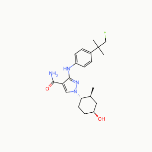 C[C@H]1C[C@@H](O)CC[C@@H]1n1cc(C(N)=O)c(Nc2ccc(C(C)(C)CF)cc2)n1